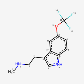 CNCCc1c[nH]c2ccc(OC(F)(F)F)cc12